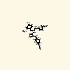 Cc1cc(F)ccc1CN(Cc1nncn1Cc1ccc(C#N)cc1)C(=O)c1ccc(Br)o1